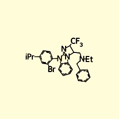 CCN(Cc1ccccc1)CC1C(C(F)(F)F)N=C2N(c3ccc(C(C)C)cc3Br)c3ccccc3N21